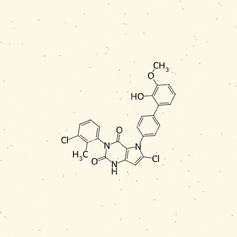 COc1cccc(-c2ccc(-n3c(Cl)cc4[nH]c(=O)n(-c5cccc(Cl)c5C)c(=O)c43)cc2)c1O